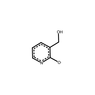 [O]c1ncccc1CO